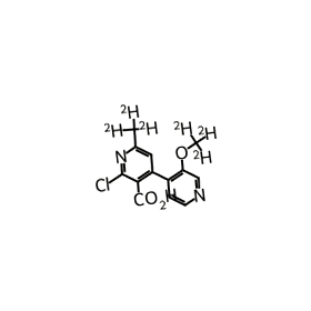 [2H]C([2H])([2H])Oc1cnccc1-c1cc(C([2H])([2H])[2H])nc(Cl)c1C(=O)O